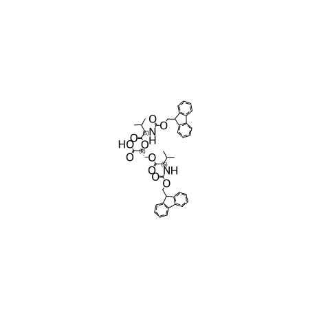 CC(C)[C@H](NC(=O)OCC1c2ccccc2-c2ccccc21)C(=O)OC[C@@H](OC(=O)[C@@H](NC(=O)OCC1c2ccccc2-c2ccccc21)C(C)C)C(=O)O